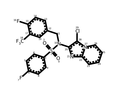 O=S(=O)(c1ccc(F)cc1)N(Cc1ccc(F)c(C(F)(F)F)c1)c1nc2ccccn2c1Cl